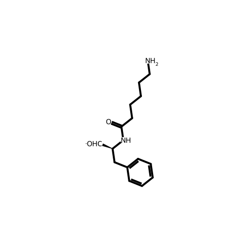 NCCCCCC(=O)N[C@H]([C]=O)Cc1ccccc1